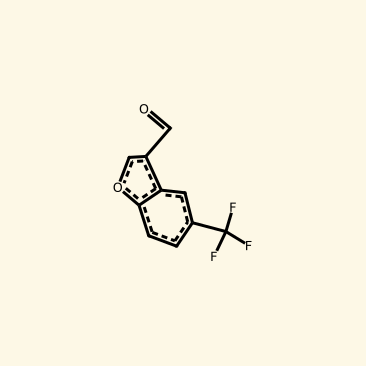 O=Cc1coc2ccc(C(F)(F)F)cc12